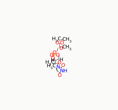 CO[C@H](CCO[P@@]1(=O)OC[C@H]2O[C@@H](n3ccc(=O)[nH]c3=O)C(C)(C)[C@@H]2O1)C(=O)OC(C)C